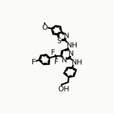 COc1ccc2nc(Nc3cc(C(F)(F)c4ccc(F)cc4)nc(Nc4ccc(CCO)cc4)n3)sc2c1